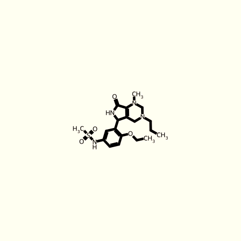 CCCN1CC2=C(C(=O)NC2c2cc(NS(C)(=O)=O)ccc2OCC)N(C)C1